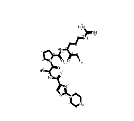 CC(C)C(NC(=O)c1csc(N2CCOCC2)n1)C(=O)N1CCCC1C(=O)NC(CCCNC(=N)N)C(=O)CF